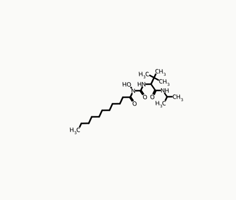 CCCCCCCCCCC(=O)N(O)C(=O)NC(C(=O)NC(C)C)C(C)(C)C